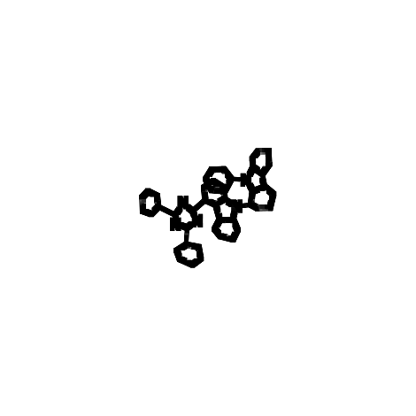 c1ccc(-c2nc(-c3ccccc3)nc(-c3cccc4c3c3ccccc3n4-c3cccc4c5ccccc5n(-c5ccccc5)c34)n2)cc1